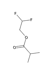 CC(C)C(=O)OCC(F)F